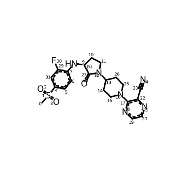 CS(=O)(=O)c1ccc(N[C@H]2CCN(C3CCN(c4nccnc4C#N)CC3)C2=O)c(F)c1